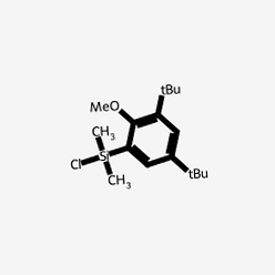 COc1c(C(C)(C)C)cc(C(C)(C)C)cc1[Si](C)(C)Cl